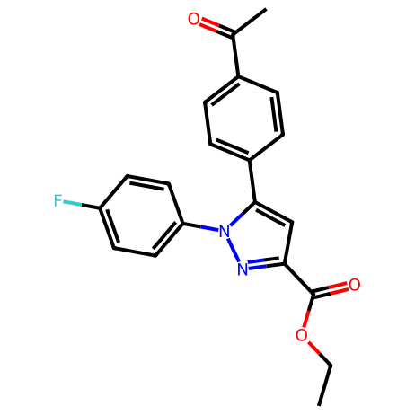 CCOC(=O)c1cc(-c2ccc(C(C)=O)cc2)n(-c2ccc(F)cc2)n1